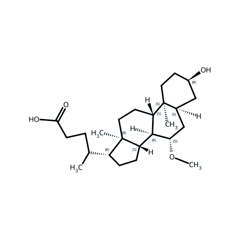 CO[C@H]1C[C@@H]2C[C@H](O)CC[C@]2(C)[C@H]2CC[C@]3(C)[C@@H](C(C)CCC(=O)O)CC[C@H]3[C@H]12